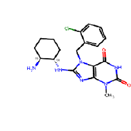 Cn1c(=O)[nH]c(=O)c2c1nc(N[C@H]1CCCC[C@@H]1N)n2Cc1ccccc1Cl